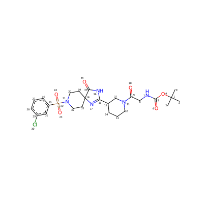 CC(C)(C)OC(=O)NCC(=O)N1CCCC(C2=NC3(CCN(S(=O)(=O)c4cccc(Cl)c4)CC3)C(=O)N2)C1